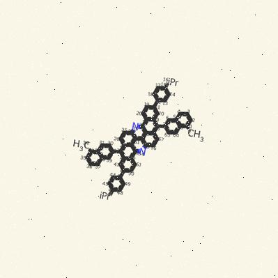 Cc1cccc2cc(-c3c4cc(-c5ccc(C(C)C)cc5)ccc4c4nc5ccc6c(-c7ccc8c(C)cccc8c7)c7cc(-c8ccc(C(C)C)cc8)ccc7c7nc8ccc3c4c8c5c67)ccc12